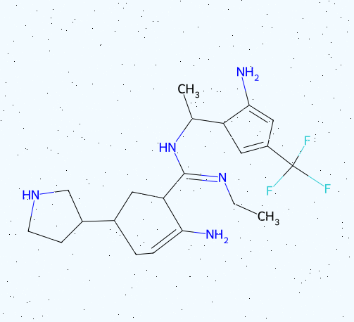 CC/N=C(/NC(C)C1C=C(C(F)(F)F)C=C1N)C1CC(C2CCNC2)CC=C1N